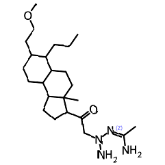 CCCC1C(CCOC)CCC2C1CCC1(C)C(C(=O)CN(N)/N=C(/C)N)CCC21